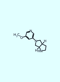 COc1cncc(N2C[C@@H]3CCN[C@@H]3C2)c1